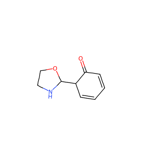 O=C1C=CC=CC1C1NCCO1